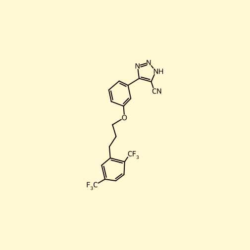 N#Cc1[nH]nnc1-c1cccc(OCCCc2cc(C(F)(F)F)ccc2C(F)(F)F)c1